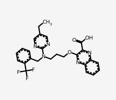 CCc1cnc(N(CCCOc2nc3ccccc3nc2C(=O)O)Cc2ccccc2C(F)(F)F)nc1